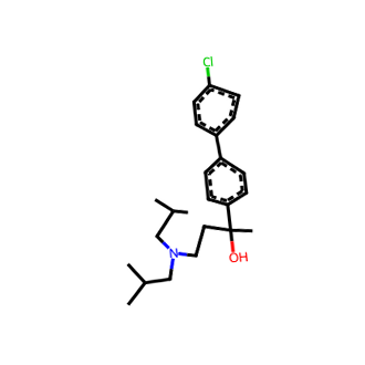 CC(C)CN(CCC(C)(O)c1ccc(-c2ccc(Cl)cc2)cc1)CC(C)C